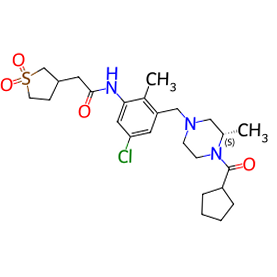 Cc1c(CN2CCN(C(=O)C3CCCC3)[C@@H](C)C2)cc(Cl)cc1NC(=O)CC1CCS(=O)(=O)C1